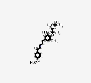 CSc1ccc(C(=O)/C=C/CCc2cc(C)c(OC(C)(C)C(=O)OC(C)(C)C)c(C)c2)cc1